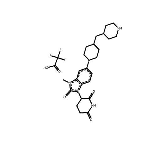 Cn1c(=O)n(C2CCC(=O)NC2=O)c2ccc(N3CCC(CC4CCNCC4)CC3)cc21.O=C(O)C(F)(F)F